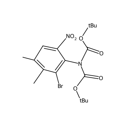 Cc1cc([N+](=O)[O-])c(N(C(=O)OC(C)(C)C)C(=O)OC(C)(C)C)c(Br)c1C